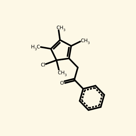 CC1=C(C)C(C)(Cl)C(CC(=O)c2ccccc2)=C1C